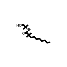 CCCCCCCCC(C)(C)C(=O)NC(C)(C)CO